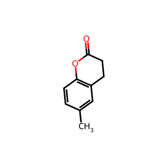 Cc1ccc2c(c1)CCC(=O)O2